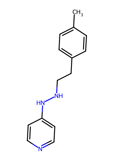 Cc1ccc(CCNNc2ccncc2)cc1